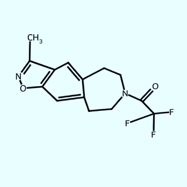 Cc1noc2cc3c(cc12)CCN(C(=O)C(F)(F)F)CC3